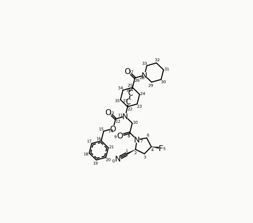 N#C[C@@H]1C[C@H](F)CN1C(=O)CN(C(=O)OCc1ccccc1)C12CCC(C(=O)N3CCCCC3)(CC1)CC2